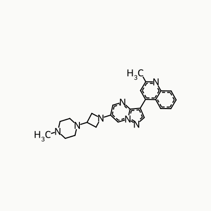 Cc1cc(-c2cnn3cc(N4CC(N5CCN(C)CC5)C4)cnc23)c2ccccc2n1